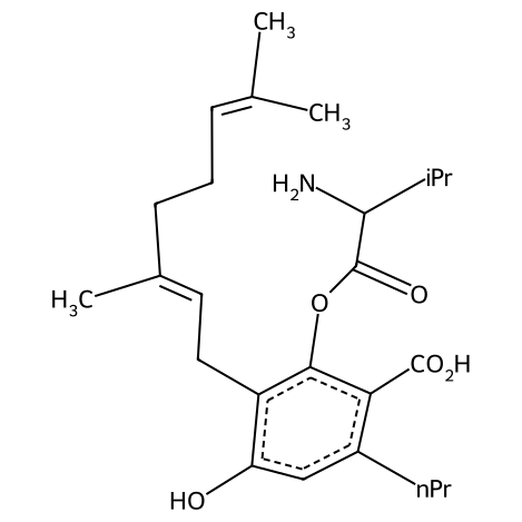 CCCc1cc(O)c(C/C=C(\C)CCC=C(C)C)c(OC(=O)C(N)C(C)C)c1C(=O)O